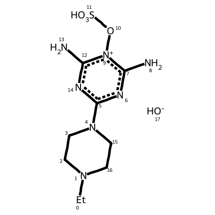 CCN1CCN(c2nc(N)[n+](OS(=O)(=O)O)c(N)n2)CC1.[OH-]